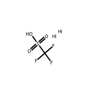 I.I.O=S(=O)(O)C(F)(F)F